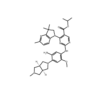 COc1cc(N2C[C@H]3CN(C)C[C@H]3C2)c(N)cc1Nc1ncc(C(=O)OC(C)C)c(N2CC(C)(C)c3nc(C)ccc32)n1